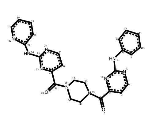 O=C(c1ccnc(Nc2ccccc2)n1)N1CCN(C(=O)c2ccnc(Nc3ccccn3)n2)CC1